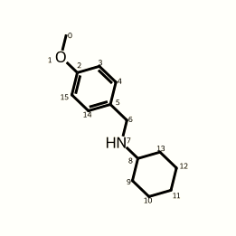 COc1ccc(CNC2CCCCC2)cc1